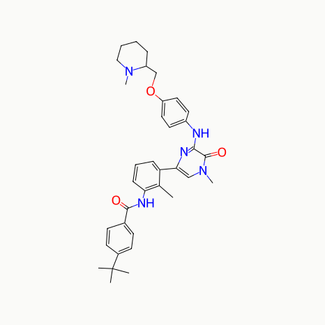 Cc1c(NC(=O)c2ccc(C(C)(C)C)cc2)cccc1-c1cn(C)c(=O)c(Nc2ccc(OCC3CCCCN3C)cc2)n1